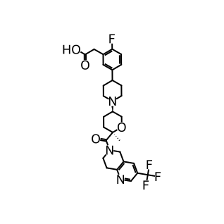 C[C@]1(C(=O)N2CCc3ncc(C(F)(F)F)cc3C2)CC[C@@H](N2CCC(c3ccc(F)c(CC(=O)O)c3)CC2)CO1